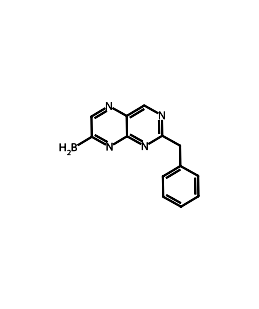 Bc1cnc2cnc(Cc3ccccc3)nc2n1